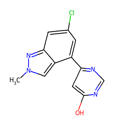 Cn1cc2c(-c3cc(O)ncn3)cc(Cl)cc2n1